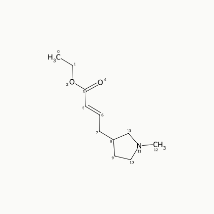 CCOC(=O)/C=C/CC1CCN(C)C1